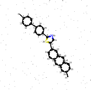 Cc1ccc(-c2ccc(-c3ncc(-c4ccc5cc6cc(C)ccc6cc5c4)s3)cc2)cc1